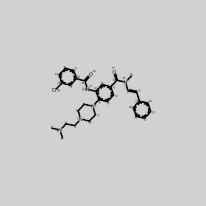 CN(C)CCN1CCN(c2ccc(C(=O)N(C)C=Cc3ccccc3)cc2NC(=O)c2cccc(Cl)c2)CC1